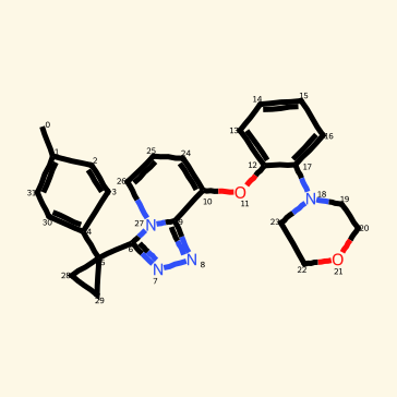 Cc1ccc(C2(c3nnc4c(Oc5ccccc5N5CCOCC5)cccn34)CC2)cc1